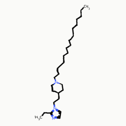 CCCCCCCCCCCCCCCCN1CCC(CCn2ccnc2CC)CC1